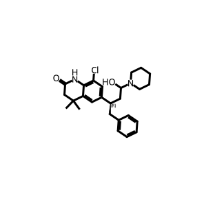 CC1(C)CC(=O)Nc2c(Cl)cc([C@H](Cc3ccccc3)CC(O)N3CCCCC3)cc21